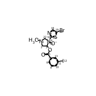 CN1CC(OC(=O)c2cccc(I)c2)[N+]([O-])(c2ncc(Br)s2)C1